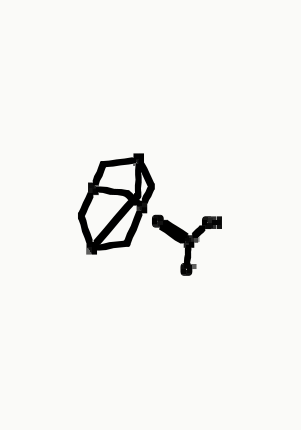 C1N2CN3CN1CN(C2)C3.O=[N+]([O-])O